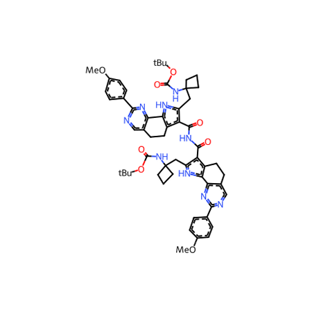 COc1ccc(-c2ncc3c(n2)-c2[nH]c(CC4(NC(=O)OC(C)(C)C)CCC4)c(C(=O)NC(=O)c4c(CC5(NC(=O)OC(C)(C)C)CCC5)[nH]c5c4CCc4cnc(-c6ccc(OC)cc6)nc4-5)c2CC3)cc1